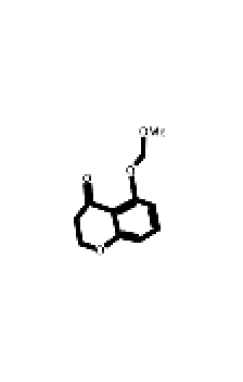 COCOc1cccc2c1C(=O)CCO2